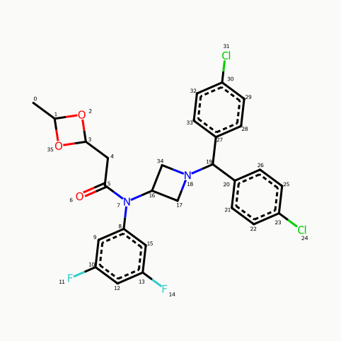 CC1OC(CC(=O)N(c2cc(F)cc(F)c2)C2CN(C(c3ccc(Cl)cc3)c3ccc(Cl)cc3)C2)O1